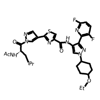 CCOC1CCC(n2cc(NC(=O)c3csc(-c4cnn(C(=O)[C@H](CC(C)C)NC(C)=O)c4)n3)c(-c3nc(F)ccc3F)n2)CC1